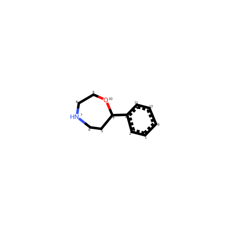 c1ccc(C2CCNCCO2)cc1